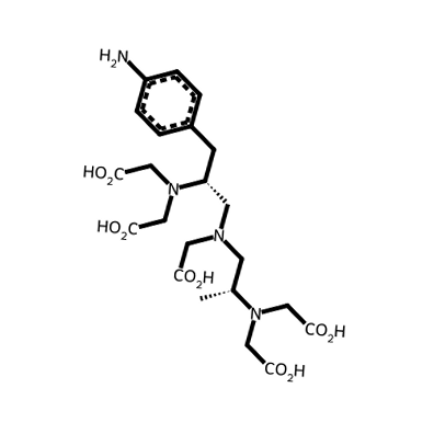 C[C@H](CN(CC(=O)O)C[C@@H](Cc1ccc(N)cc1)N(CC(=O)O)CC(=O)O)N(CC(=O)O)CC(=O)O